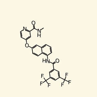 CNC(=O)c1cc(Oc2ccc3c(NC(=O)c4cc(C(F)(F)F)cc(C(F)(F)F)c4)cccc3c2)ccn1